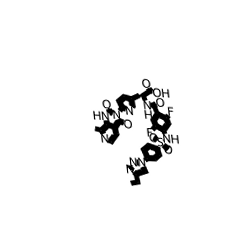 CCc1cn(-c2ccc(S(=O)(=O)Nc3cc(F)c(C(=O)N[C@@H](Cc4ccc(-n5c(=O)[nH]c6c(C)nccc6c5=O)nc4)C(=O)O)cc3F)cc2)nn1